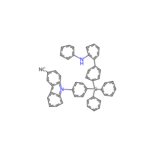 N#Cc1ccc2c(c1)c1ccccc1n2-c1ccc([Si](c2ccccc2)(c2ccccc2)c2ccc(-c3ccccc3Nc3ccccc3)cc2)cc1